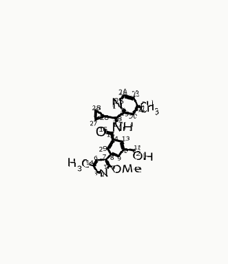 COc1ncc(C)cc1-c1cc(CO)cc(C(=O)NC(c2cc(C)ccn2)C2CC2)c1